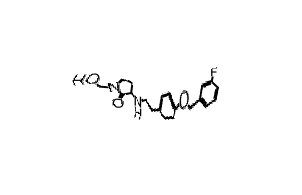 O=C1C(NCCc2ccc(OCc3cccc(F)c3)cc2)CCN1CO